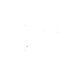 CCCC(=O)N[C@H]1Cc2cc(O)cc(C(=O)OCOC(=O)C(C)(C)C)c2OB1O